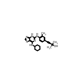 Cc1cc(C#CC(C)(C)O)ccc1Nc1nc(NC2CCCCC2)c2ncnc-2[nH]1